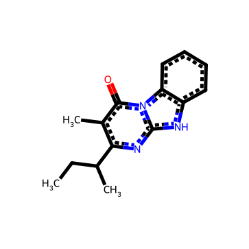 CCC(C)c1nc2[nH]c3ccccc3n2c(=O)c1C